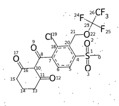 CS(=O)(=O)c1ccc(C(=O)C2C(=O)CCCC2=O)c(Cl)c1COC(F)(F)C(F)(F)F